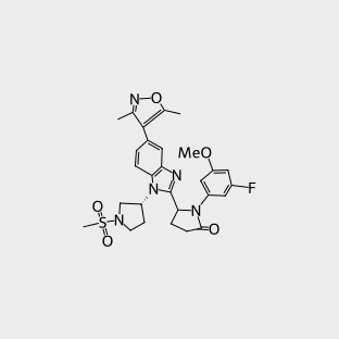 COc1cc(F)cc(N2C(=O)CCC2c2nc3cc(-c4c(C)noc4C)ccc3n2[C@@H]2CCN(S(C)(=O)=O)C2)c1